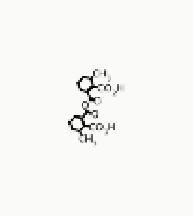 CC1CCCC(C(=O)OC(=O)C2=C(C(=O)O)C(C)CCC2)=C1C(=O)O